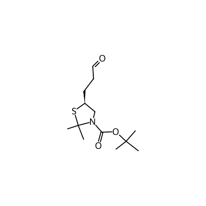 CC(C)(C)OC(=O)N1C[C@H](CCC=O)SC1(C)C